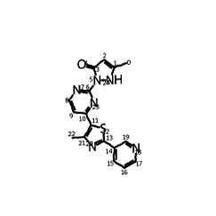 Cc1cc(=O)n(-c2nccc(-c3sc(-c4cccnc4)nc3C)n2)[nH]1